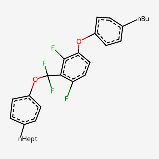 CCCCCCCc1ccc(OC(F)(F)c2c(F)c[c]c(Oc3ccc(CCCC)cc3)c2F)cc1